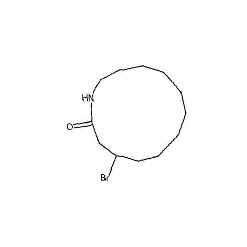 O=C1CC(Br)CCCCCCCCCN1